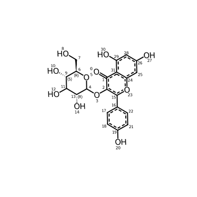 O=c1c(OC2O[C@H](CO)[C@@H](O)C(O)[C@H]2O)c(-c2ccc(O)cc2)oc2cc(O)cc(O)c12